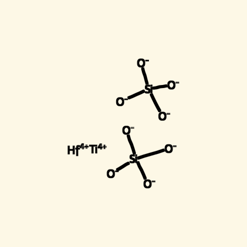 [Hf+4].[O-][Si]([O-])([O-])[O-].[O-][Si]([O-])([O-])[O-].[Ti+4]